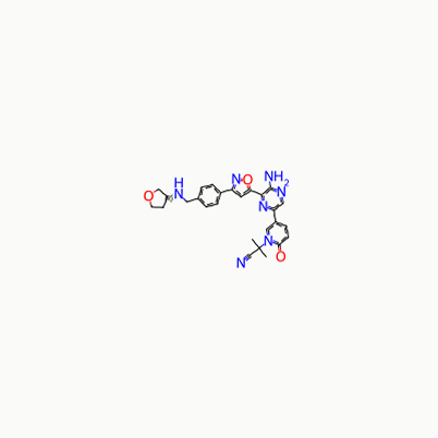 CC(C)(C#N)n1cc(-c2cnc(N)c(-c3cc(-c4ccc(CN[C@@H]5CCOC5)cc4)no3)n2)ccc1=O